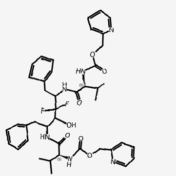 CC(C)[C@H](NC(=O)OCc1ccccn1)C(=O)NC(Cc1ccccc1)C(O)C(F)(F)C(Cc1ccccc1)NC(=O)[C@@H](NC(=O)OCc1ccccn1)C(C)C